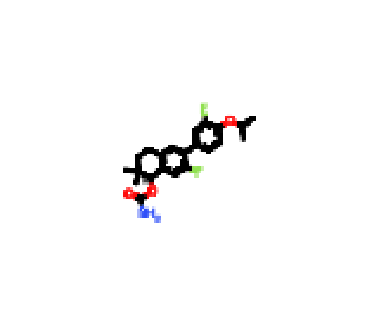 CC(C)Oc1ccc(-c2cc3c(cc2F)[C@H](OC(N)=O)C(C)(C)CC3)cc1F